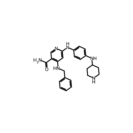 NC(=O)c1cnc(Nc2ccc(NC3CCNCC3)cc2)cc1NCc1ccccc1